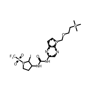 C[Si](C)(C)CCOCn1ccc2nc(NC(=O)NC3CCN(S(=O)(=O)C(F)(F)F)C3I)cnc21